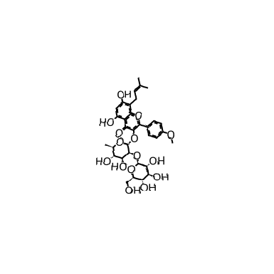 COc1ccc(-c2oc3c(CC=C(C)C)c(O)cc(O)c3c(=O)c2O[C@@H]2O[C@H](C)[C@@H](O)[C@H](O)[C@@H]2O[C@@H]2O[C@H](CO)[C@@H](O)[C@H](O)[C@H]2O)cc1